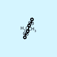 CC(C)(c1ccc(OC(=O)c2ccccc2)cc1)c1ccc(OC(=O)c2ccccc2)cc1